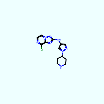 Clc1nccn2nc(Nc3cnn(C4CCNCC4)c3)nc12